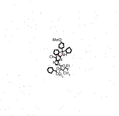 CC[C@@]1(F)O[C@@H](n2cnc3c(Cl)nc(NC(c4ccccc4)(c4ccccc4)c4ccc(OC)cc4)nc32)[C@](C)(OC(=O)c2ccccc2)[C@@H]1C